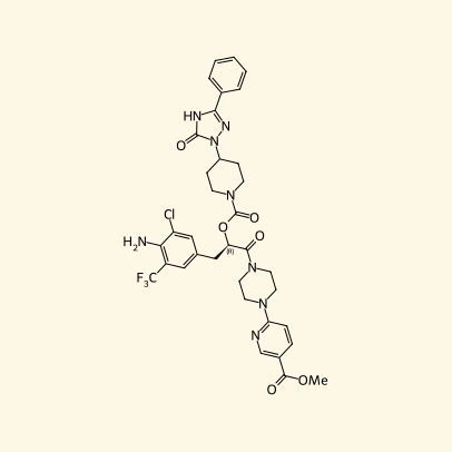 COC(=O)c1ccc(N2CCN(C(=O)[C@@H](Cc3cc(Cl)c(N)c(C(F)(F)F)c3)OC(=O)N3CCC(n4nc(-c5ccccc5)[nH]c4=O)CC3)CC2)nc1